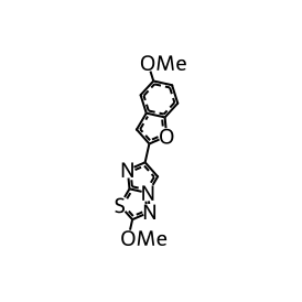 COc1ccc2oc(-c3cn4nc(OC)sc4n3)cc2c1